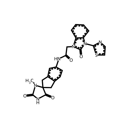 CN1C(=O)NC(=O)C12Cc1ccc(NC(=O)Cn3c(=O)n(-c4nccs4)c4ccccc43)cc1C2